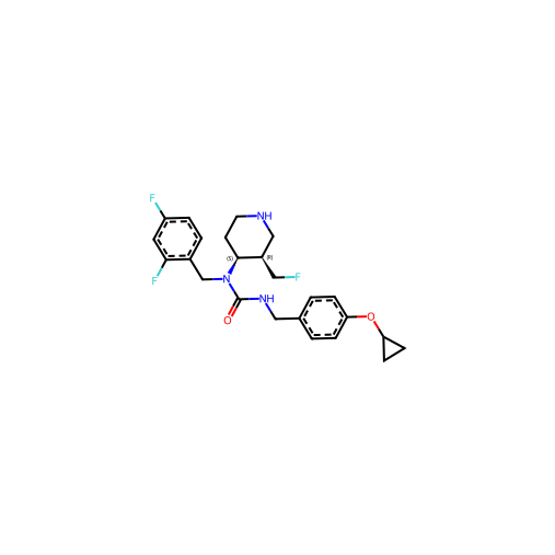 O=C(NCc1ccc(OC2CC2)cc1)N(Cc1ccc(F)cc1F)[C@H]1CCNC[C@H]1CF